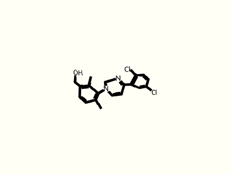 Cc1ccc(CO)c(C)c1N1C=CC(c2cc(Cl)ccc2Cl)=NC1